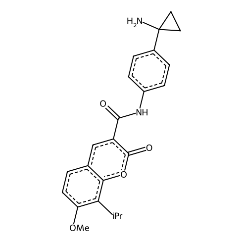 COc1ccc2cc(C(=O)Nc3ccc(C4(N)CC4)cc3)c(=O)oc2c1C(C)C